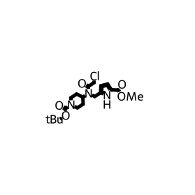 COC(=O)c1ccc(CN(C(=O)CCl)C2CCN(C(=O)OC(C)(C)C)CC2)[nH]1